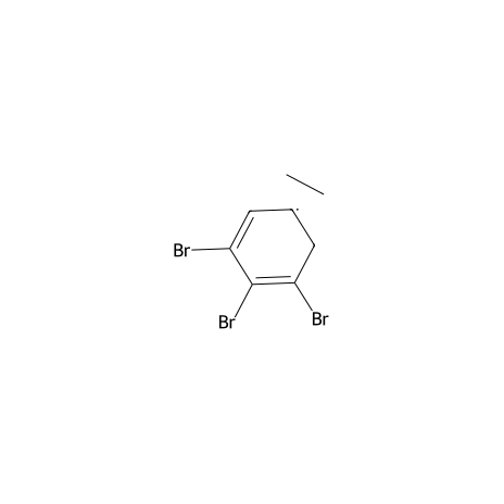 BrC1=C[CH]CC(Br)=C1Br.CC